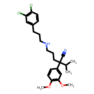 COc1ccc(C(C#N)(CCCNCCCc2ccc(Cl)c(Cl)c2)C(C)C)cc1OC